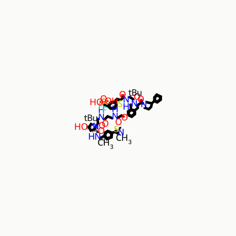 Cc1ncsc1-c1ccc([C@H](C)NC(=O)[C@@H]2C[C@@H](O)CN2C(=O)C(NC(=O)CCNC(=O)COc2ccc3c(c2)CN(C(=O)C(NC(=O)c2cc4cc(C(F)(F)P(=O)(O)O)ccc4s2)C(C)(C)C)C(C(=O)N2CCCC(c4ccccc4)C2)C3)C(C)(C)C)cc1